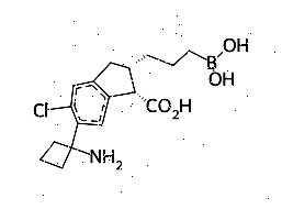 NC1(c2cc3c(cc2Cl)C[C@H](CCCB(O)O)[C@@H]3C(=O)O)CCC1